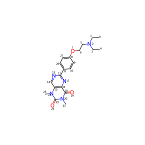 CCN(CC)CCOc1ccc(-c2ncc3c(n2)c(=O)n(C)c(=O)n3C)cc1